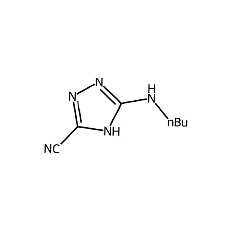 CCCCNc1nnc(C#N)[nH]1